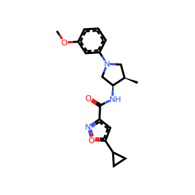 COc1cccc(N2C[C@@H](C)[C@@H](NC(=O)c3cc(C4CC4)on3)C2)c1